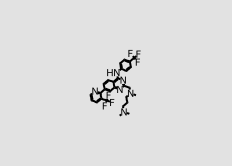 CN(C)CCCN(C)Cc1nc(Nc2ccc(C(F)(F)F)cc2)c2ccc(-c3ncccc3C(F)(F)F)cc2n1